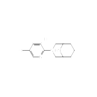 Cl.Clc1ccc(N2CC3CCCC(C2)N3)nc1